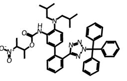 CC(C)CN(CC(C)C)c1ccc(-c2ccccc2-c2nnn(C(c3ccccc3)(c3ccccc3)c3ccccc3)n2)cc1NC(=O)OC(C)C(C)[N+](=O)[O-]